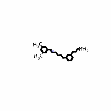 Cc1cc(C)cc(/C=C/CCCCc2cccc(CCCN)c2)c1